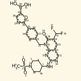 CS(=O)(=O)N1CCC(Nc2ncc3cc(C(F)F)c(=O)n(Cc4ccc(-c5ncc(B(O)O)o5)cc4)c3n2)CC1